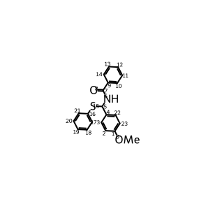 COc1ccc(C(NC(=O)c2ccccc2)Sc2ccccc2)cc1